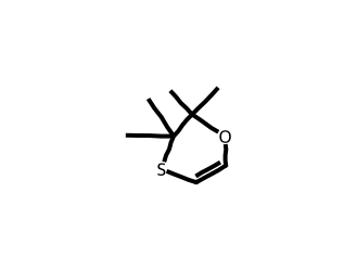 CC1(C)OC=CSC1(C)C